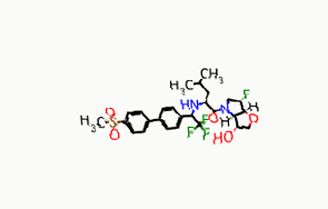 CC(C)C[C@H](N[C@H](c1ccc(-c2ccc(S(C)(=O)=O)cc2)cc1)C(F)(F)F)C(=O)N1C[C@H](F)[C@H]2OC[C@H](O)[C@H]21